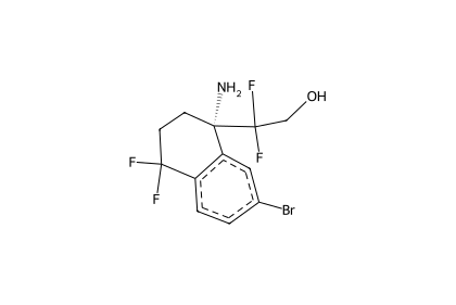 N[C@@]1(C(F)(F)CO)CCC(F)(F)c2ccc(Br)cc21